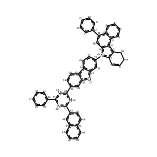 C1=Cc2c(c3c4ccccc4c(-c4ccccc4)cc3n2-c2ccc3c(c2)oc2cc(-c4nc(-c5ccccc5)nc(-c5ccc6ccccc6c5)n4)ccc23)CC1